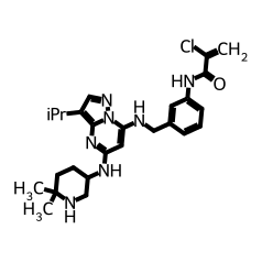 C=C(Cl)C(=O)Nc1cccc(CNc2cc(NC3CCC(C)(C)NC3)nc3c(C(C)C)cnn23)c1